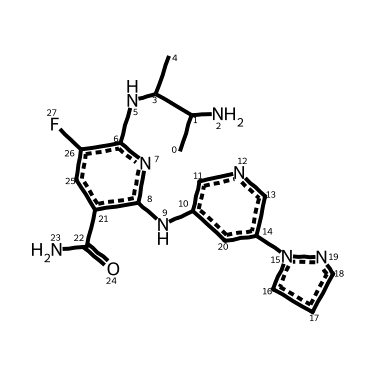 CC(N)C(C)Nc1nc(Nc2cncc(-n3cccn3)c2)c(C(N)=O)cc1F